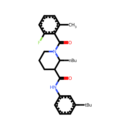 CCCCC1C(C(=O)Nc2cccc(C(C)(C)C)c2)CCCN1C(=O)c1c(C)cccc1F